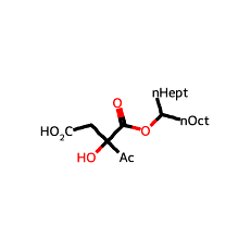 CCCCCCCCC(CCCCCCC)OC(=O)C(O)(CC(=O)O)C(C)=O